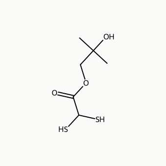 CC(C)(O)COC(=O)C(S)S